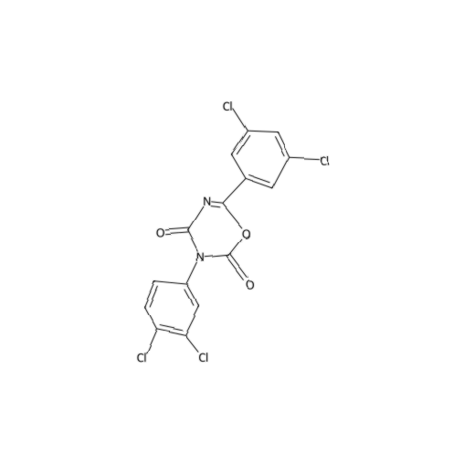 O=c1nc(-c2cc(Cl)cc(Cl)c2)oc(=O)n1-c1ccc(Cl)c(Cl)c1